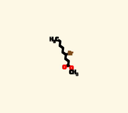 CCCCCC(Br)CCC(=O)OC